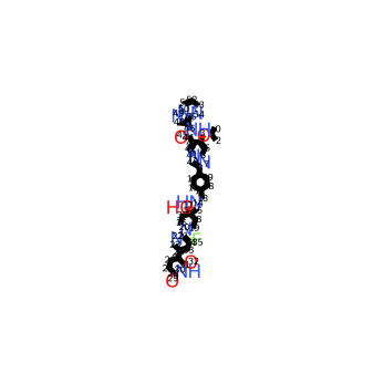 CC(C)Oc1cc2nc(C3CCC(CNCC4(O)CCN(c5ncc(C6CCC(=O)NC6=O)cc5F)CC4)CC3)cn2cc1C(=O)Nc1cnn2cccnc12